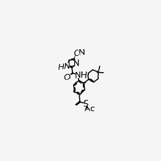 C=C(SC(C)=O)c1ccc(NC(=O)c2nc(C#N)c[nH]2)c(C2=CCC(C)(C)CC2)c1